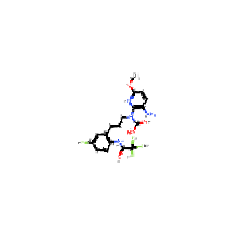 COc1ccc(N)c(N(CCCc2cc(F)ccc2NC(=O)C(F)(F)F)C(=O)O)n1